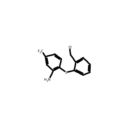 Nc1cc(C(F)(F)F)ccc1Sc1ccccc1CCl